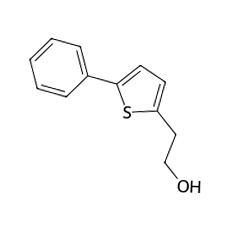 OCCc1ccc(-c2ccccc2)s1